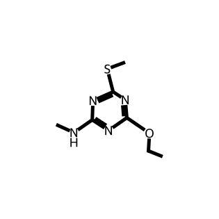 CCOc1nc(NC)nc(SC)n1